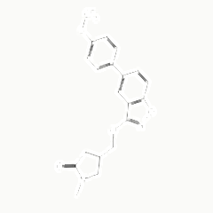 CN1CC(COc2noc3ccc(-c4ccc(OC(F)(F)F)cc4)cc23)CC1=O